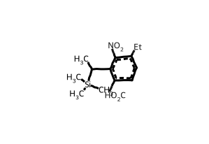 CCc1ccc(C(=O)O)c(C(C)[Si](C)(C)C)c1[N+](=O)[O-]